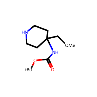 COCC1(NC(=O)OC(C)(C)C)CCNCC1